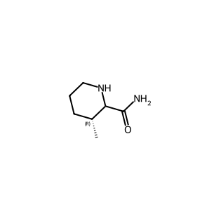 C[C@@H]1CCCNC1C(N)=O